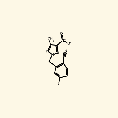 Cc1nn(Cc2cc(F)ccc2C#N)cc1[N+](=O)[O-]